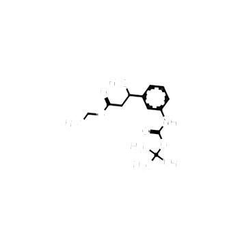 CCOC(=O)CC(C)c1cccc(NC(=O)OC(C)(C)C)c1